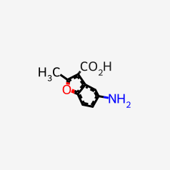 Cc1oc2ccc(N)cc2c1C(=O)O